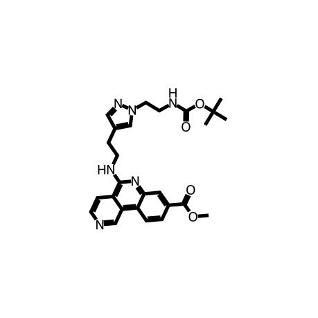 COC(=O)c1ccc2c(c1)nc(NCCc1cnn(CCNC(=O)OC(C)(C)C)c1)c1ccncc12